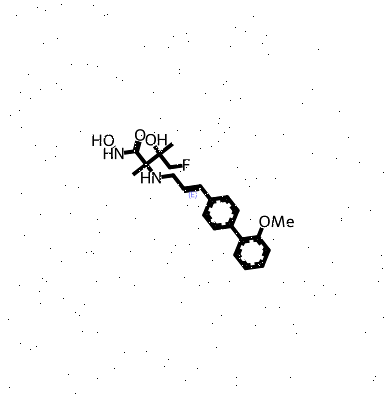 COc1ccccc1-c1ccc(/C=C/CNC(C)(C(=O)NO)C(C)(O)CF)cc1